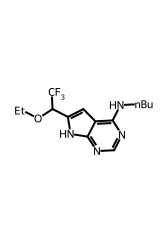 CCCCNc1ncnc2[nH]c(C(OCC)C(F)(F)F)cc12